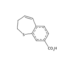 O=C(O)c1ccc2c(c1)SCCC=C2